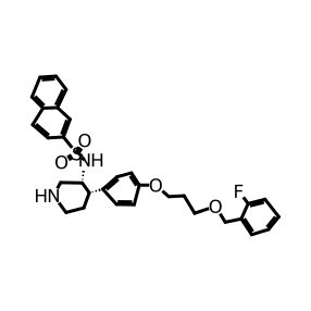 O=S(=O)(N[C@H]1CNCC[C@H]1c1ccc(OCCCOCc2ccccc2F)cc1)c1ccc2ccccc2c1